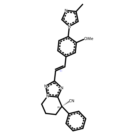 COc1cc(/C=C/c2nc3n(n2)CCC[C@]3(C#N)c2ccccc2)ccc1-n1cnc(C)c1